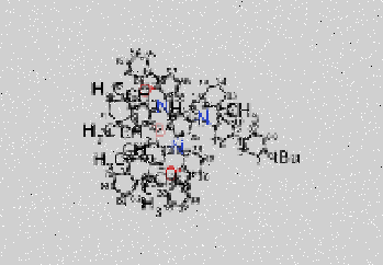 CC(C)(C)c1ccc(-c2ccc3c(c2)C2(C)CCCCC2(C)N3c2cc3c4c(c2)N(c2cccc5c2oc2ccccc25)c2cc5c(cc2B4c2cc4c(cc2N3c2cccc3c2oc2ccccc23)C(C)(C)CCC4(C)C)C(C)(C)c2ccccc2C5(C)C)cc1